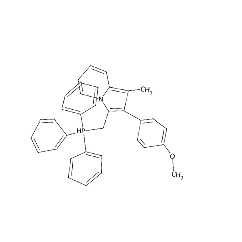 COc1ccc(-c2c(C)c3ccccn3c2C[PH](c2ccccc2)(c2ccccc2)c2ccccc2)cc1